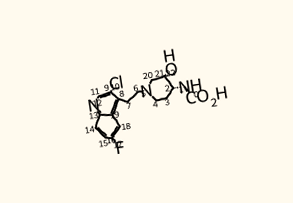 O=C(O)N[C@@H]1CCN(CCc2c(Cl)cnc3ccc(F)cc23)C[C@@H]1O